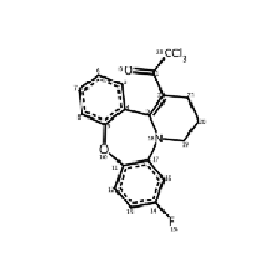 O=C(C1=C2c3ccccc3Oc3ccc(F)cc3N2CCC1)C(Cl)(Cl)Cl